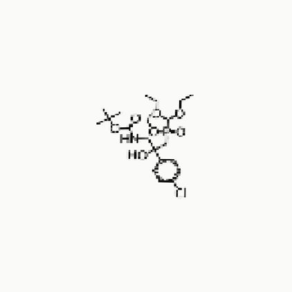 CCOC(OCC)P(=O)(CC(O)(CNC(=O)OC(C)(C)C)c1ccc(Cl)cc1)OCC